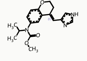 COC(=O)N(c1ccc2c(c1)/C(=C/c1c[nH]cn1)CCO2)C(C)C